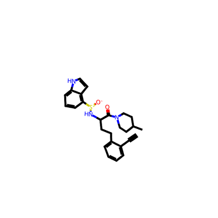 C#Cc1ccccc1CCC(N[S+]([O-])c1cccc2[nH]ccc12)C(=O)N1CCC(C)CC1